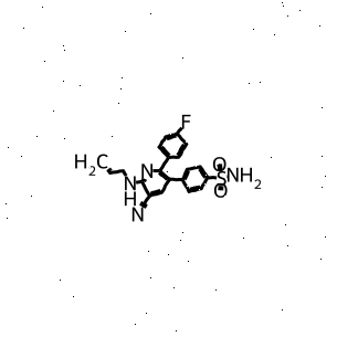 C=CCNc1nc(-c2ccc(F)cc2)c(-c2ccc(S(N)(=O)=O)cc2)cc1C#N